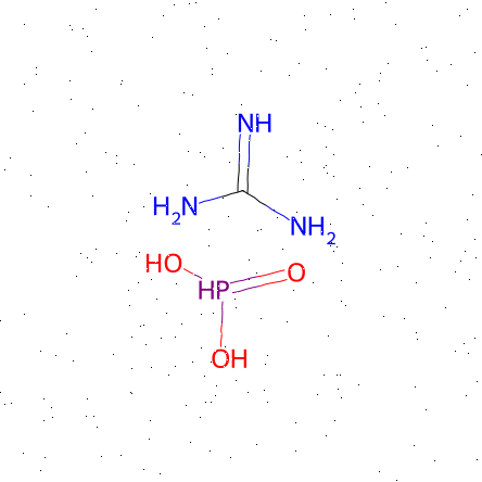 N=C(N)N.O=[PH](O)O